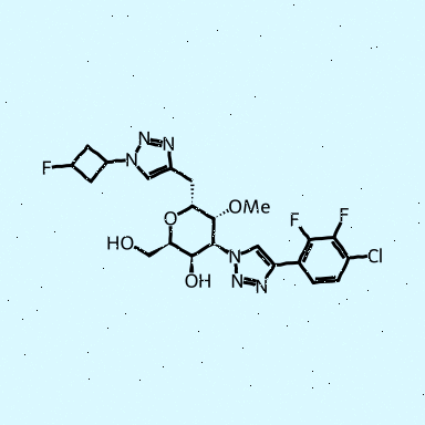 CO[C@@H]1[C@@H](n2cc(-c3ccc(Cl)c(F)c3F)nn2)[C@@H](O)[C@@H](CO)O[C@@H]1Cc1cn(C2CC(F)C2)nn1